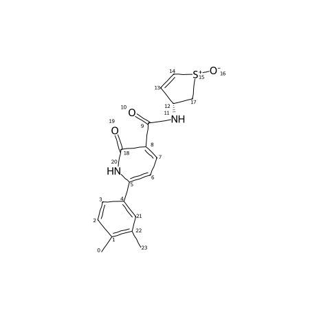 Cc1ccc(-c2ccc(C(=O)N[C@@H]3C=C[S+]([O-])C3)c(=O)[nH]2)cc1C